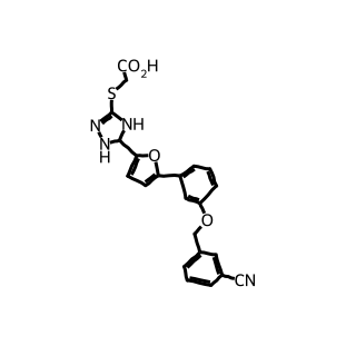 N#Cc1cccc(COc2cccc(-c3ccc(C4NN=C(SCC(=O)O)N4)o3)c2)c1